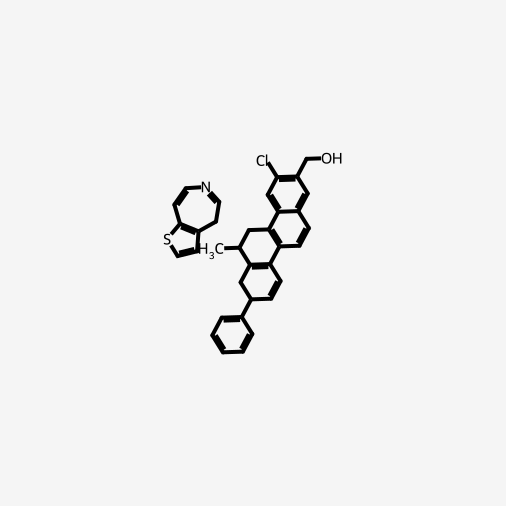 C1=Cc2sccc2CC=N1.CC1Cc2c(ccc3cc(CO)c(Cl)cc23)C2=C1CC(c1ccccc1)C=C2